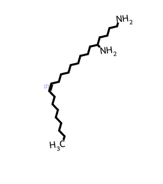 CCCCCCCC/C=C\CCCCCCCCC(N)CCCCN